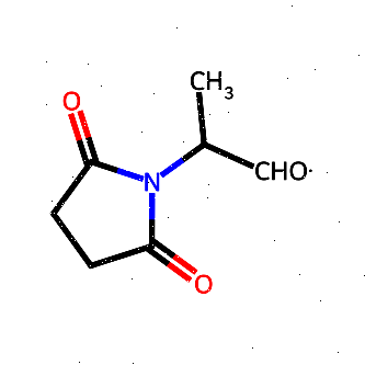 CC([C]=O)N1C(=O)CCC1=O